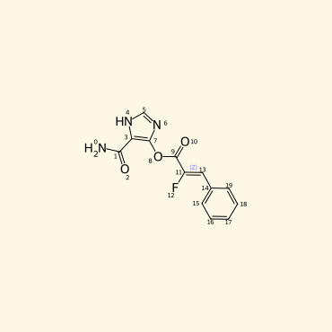 NC(=O)c1[nH]cnc1OC(=O)/C(F)=C/c1ccccc1